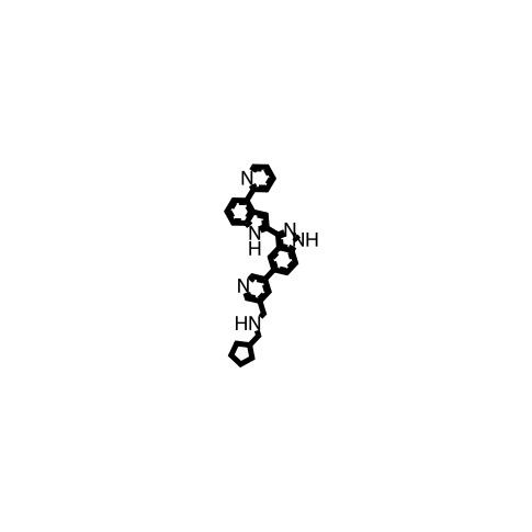 c1ccc(-c2cccc3[nH]c(-c4n[nH]c5ccc(-c6cncc(CNCC7CCCC7)c6)cc45)cc23)nc1